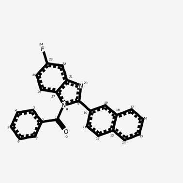 O=C(c1ccccc1)n1c(-c2ccc3ccccc3c2)nc2cc(F)ccc21